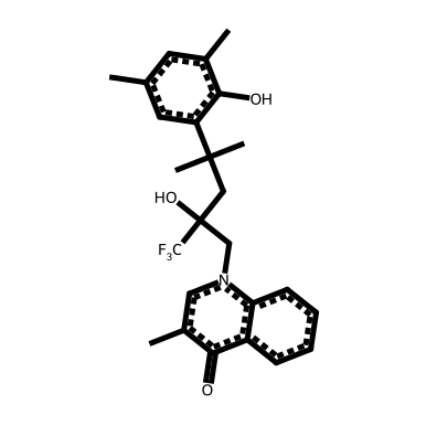 Cc1cc(C)c(O)c(C(C)(C)CC(O)(Cn2cc(C)c(=O)c3ccccc32)C(F)(F)F)c1